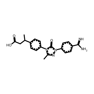 Cc1nn(-c2ccc(C(=N)N)cc2)c(=O)n1-c1ccc(C(C)CC(=O)O)cc1